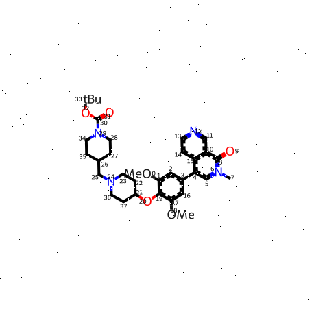 COc1cc(-c2cn(C)c(=O)c3cnccc23)cc(OC)c1OC1CCN(CC2CCN(C(=O)OC(C)(C)C)CC2)CC1